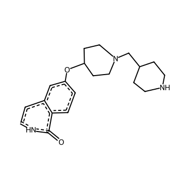 O=c1[nH]ccc2cc(OC3CCN(CC4CCNCC4)CC3)ccc12